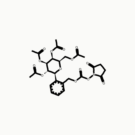 CC(=O)OC[C@H]1O[C@@H](c2ccccc2COC(=O)ON2C(=O)CCC2=O)[C@H](OC(C)=O)[C@@H](OC(C)=O)[C@H]1OC(C)=O